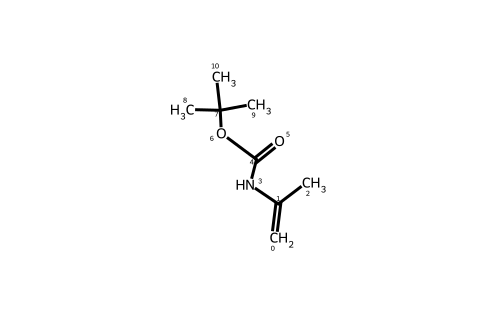 C=C(C)NC(=O)OC(C)(C)C